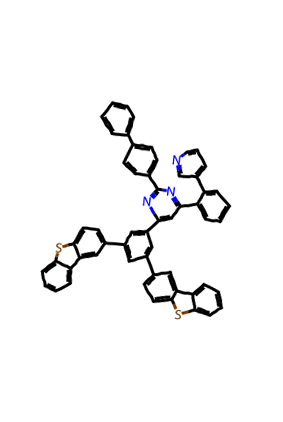 c1ccc(-c2ccc(-c3nc(-c4cc(-c5ccc6sc7ccccc7c6c5)cc(-c5ccc6sc7ccccc7c6c5)c4)cc(-c4ccccc4-c4cccnc4)n3)cc2)cc1